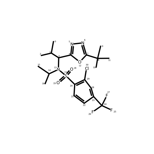 CC(C)C(c1nnc(C(C)(C)C)o1)N(C(C)C)S(=O)(=O)c1ccc(C(F)(F)F)cc1Cl